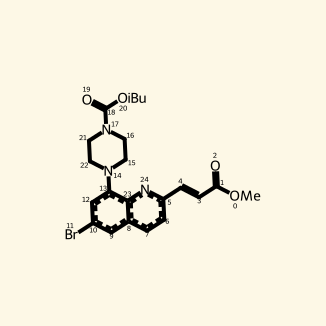 COC(=O)/C=C/c1ccc2cc(Br)cc(N3CCN(C(=O)OCC(C)C)CC3)c2n1